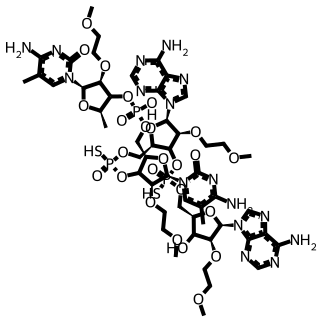 COCCO[C@H]1C(OP(=O)(O)OC[C@H]2O[C@@H](n3cc(C)c(N)nc3=O)[C@@H](OCCOC)C2OP(=O)(S)OC[C@H]2O[C@@H](n3cnc4c(N)ncnc43)[C@@H](OCCOC)C2OP(=O)(S)OC[C@H]2O[C@@H](n3cnc4c(N)ncnc43)[C@@H](OCCOC)C2O)[C@@H](C)O[C@H]1n1cc(C)c(N)nc1=O